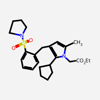 CCOC(=O)Cn1c(C)cc(Cc2ccccc2S(=O)(=O)N2CCCC2)c1C1CCCC1